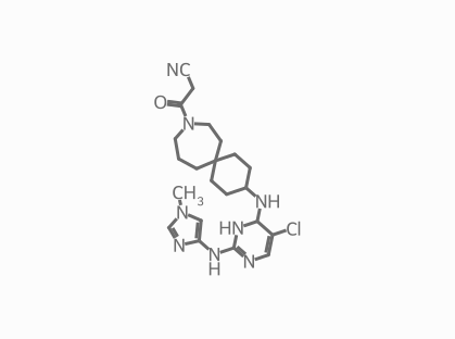 Cn1cnc(NC2=NC=C(Cl)C(NC3CCC4(CCCN(C(=O)CC#N)CC4)CC3)N2)c1